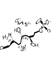 N[C@@H](C=O)[C@@H](O)[C@H](O)[C@H](O)COS(=O)(=O)[O-].[Cl-].[Mg+2]